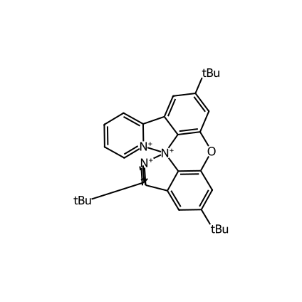 CC(C)(C)c1cc2c3c(c1)-c1cccc[n+]1[N+]31c3c(cc(C(C)(C)C)cc3-c3cc(C(C)(C)C)cc[n+]31)O2